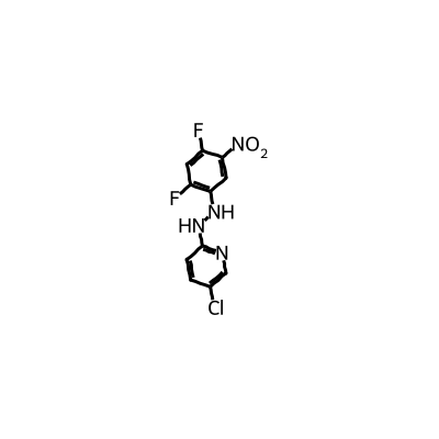 O=[N+]([O-])c1cc(NNc2ccc(Cl)cn2)c(F)cc1F